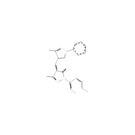 C/C=C(\C=C/CC)N1N=C(C)/C(=C/C2CN(c3ccccc3)N=C2C)C1=O